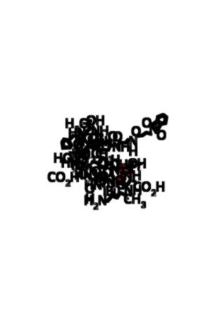 CC[C@H](C)[C@H](NC(=O)[C@H](CO)NC(=O)[C@H](Cc1ccc(O)cc1)NC(=O)[C@H](CC(=O)O)NC(=O)[C@H](CO)NC(=O)[C@@H](NC(=O)[C@H](Cc1ccccc1)NC(=O)[C@@H](NC(=O)CNC(=O)[C@H](CCC(=O)O)NC(=O)CCNC(=O)CCCN1C(=O)c2ccccc2C1=O)[C@@H](C)O)[C@@H](C)O)C(=O)N[C@@H](Cc1ccc(O)cc1)C(=O)N[C@@H](CC(C)C)C(=O)N[C@@H](CC(=O)O)C(=O)N[C@H](C)CCCCN